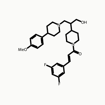 COc1ccc(C2CCN(CC(CO)C3CCN(C(=O)C=Cc4cc(F)cc(F)c4)CC3)CC2)cc1